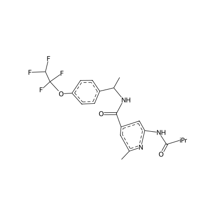 Cc1cc(C(=O)NC(C)c2ccc(OC(F)(F)C(F)F)cc2)cc(NC(=O)C(C)C)n1